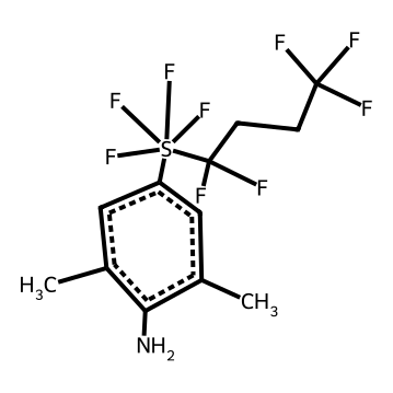 Cc1cc(S(F)(F)(F)(F)C(F)(F)CCC(F)(F)F)cc(C)c1N